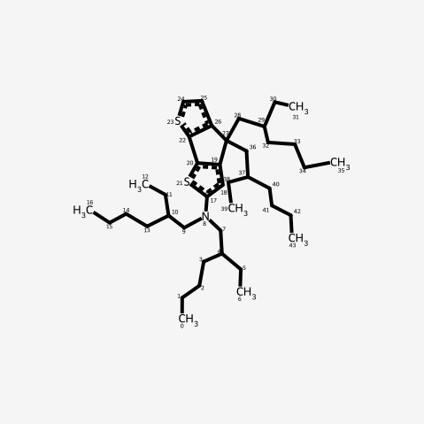 CCCCC(CC)CN(CC(CC)CCCC)c1cc2c(s1)-c1sccc1C2(CC(CC)CCCC)CC(CC)CCCC